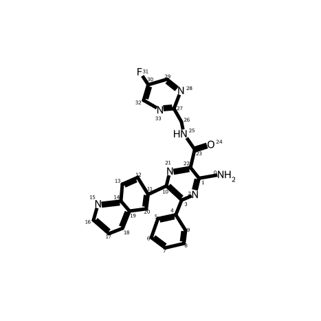 Nc1nc(-c2ccccc2)c(-c2ccc3ncccc3c2)nc1C(=O)NCc1ncc(F)cn1